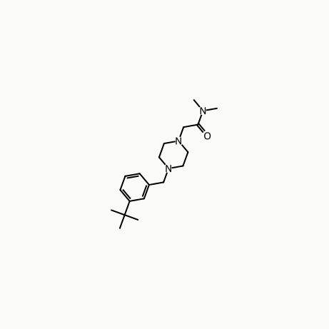 CN(C)C(=O)CN1CCN(Cc2cccc(C(C)(C)C)c2)CC1